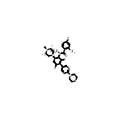 C[C@@H]1CN(c2cc(F)c(-c3cnc(N4CCOCC4)nc3)c(F)c2N(C(=O)O)C(=O)c2ccc(F)cc2C(F)(F)F)C[C@H](C)N1C